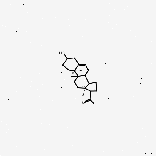 CC(=O)C1=CCC2C3CC=C4CC(O)CC[C@]4(C)C3(C)CC[C@]12C